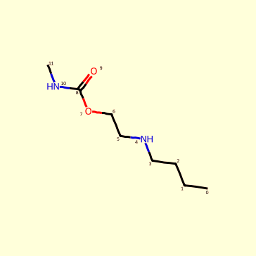 CCCCNCCOC(=O)NC